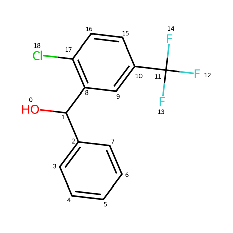 OC(c1ccccc1)c1cc(C(F)(F)F)ccc1Cl